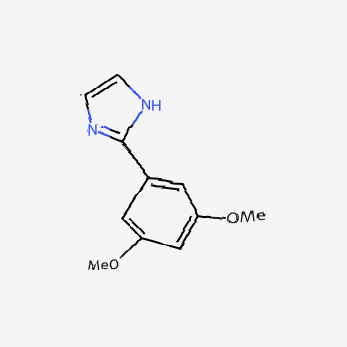 COc1cc(OC)cc(-c2n[c]c[nH]2)c1